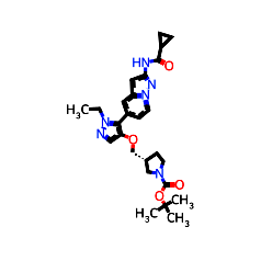 CCn1ncc(OC[C@@H]2CCN(C(=O)OC(C)(C)C)C2)c1-c1ccn2nc(NC(=O)C3CC3)cc2c1